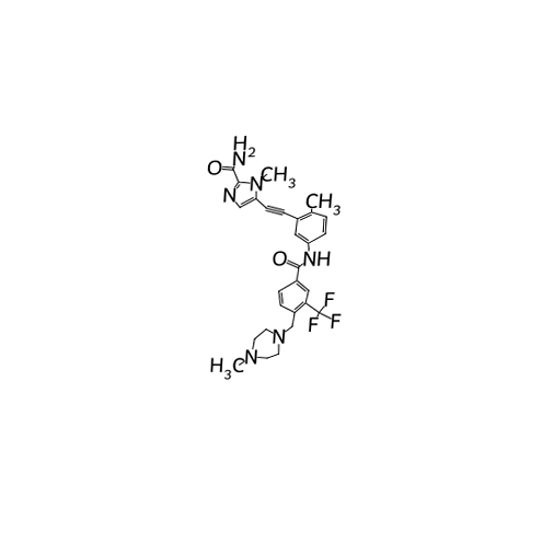 Cc1ccc(NC(=O)c2ccc(CN3CCN(C)CC3)c(C(F)(F)F)c2)cc1C#Cc1cnc(C(N)=O)n1C